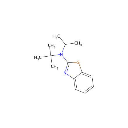 CC(C)N(c1nc2ccccc2s1)C(C)(C)C